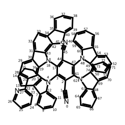 N#Cc1c(-n2c3c(c4ccccc42)C=CCC3)c(-n2c3cc(-c4ccccn4)ccc3c3ccc4c5ccccc5sc4c32)c(C#N)c(-n2c3ccccc3c3ccccc32)c1-n1c2ccccc2c2ccccc21